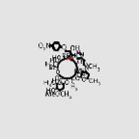 CC[C@H]1OC(=O)[C@H](C)[C@@H](O[C@H]2C[C@@](C)(OC)[C@@H](O)[C@H](C)O2)[C@H](C)[C@@H](O[C@@H]2O[C@H](C)C[C@H](N(C)CCc3cn([C@H](CF)[C@H](O)COc4ccc([N+](=O)[O-])cc4)nn3)[C@H]2O)[C@](C)(O)C[C@@H](C)CN(C)[C@H](C)[C@@H](O)[C@]1(C)O